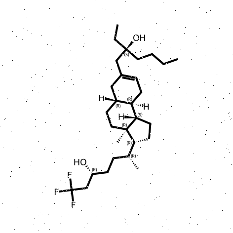 CCCC[C@@](O)(CC)CC1=CC[C@@H]2[C@H](CC[C@]3(C)[C@@H]([C@H](C)CC[C@@H](O)CC(F)(F)F)CC[C@@H]23)C1